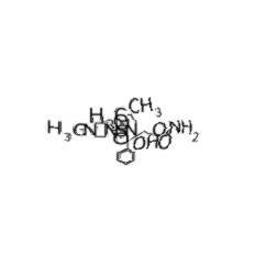 CC(C)CN(C(O)(CCOC(N)=O)Cc1ccccc1)S(=O)(=O)N1CCN(C)CC1